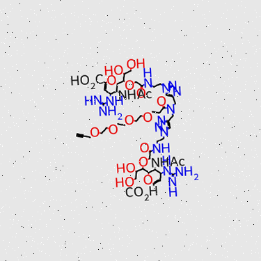 C#CCOCCOCCOCCOCCC(=O)N(Cc1cn(CCNC(=O)CO[C@@H]([C@@H]2OC(C(=O)O)=C[C@H](NC(=N)N)[C@H]2NC(C)=O)[C@H](O)CO)nn1)Cc1cn(CCNC(=O)CO[C@@H]([C@@H]2OC(C(=O)O)=C[C@H](NC(=N)N)[C@H]2NC(C)=O)[C@H](O)CO)nn1